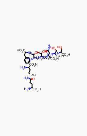 CC(O)C(N)C(=O)O.CC(O)C(N)C(=O)O.CSCCC(N)C(=O)O.NC(=O)CC(N)C(=O)O.NC(=O)CCC(N)C(=O)O.NC(CO)C(=O)O.NC(CO)C(=O)O.NC(Cc1ccccc1)C(=O)O